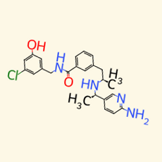 C[C@H](Cc1cccc(C(=O)NCc2cc(O)cc(Cl)c2)c1)N[C@H](C)c1ccc(N)nc1